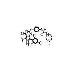 CC(C)c1[nH]n(-c2c(Cl)cc(Cl)cc2Cl)c2nc(Cc3ccc(NC(=O)CN4CCCNCC4)cc3)nc(=O)c1-2